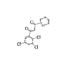 O=C(CC(=O)c1cc(Cl)cc(Cl)c1Cl)c1ccccc1